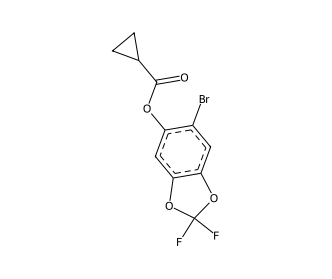 O=C(Oc1cc2c(cc1Br)OC(F)(F)O2)C1CC1